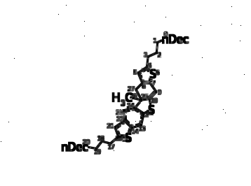 CCCCCCCCCCCCCc1cc2c(s1)C=C1Sc3cc4sc(CCCCCCCCCCCCC)cc4cc3C1(C)C2